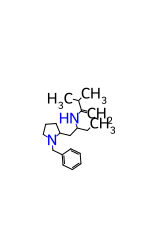 C=C(NC(CC)CC1CCCN1Cc1ccccc1)C(C)C